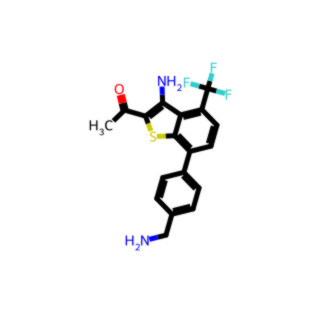 CC(=O)c1sc2c(-c3ccc(CN)cc3)ccc(C(F)(F)F)c2c1N